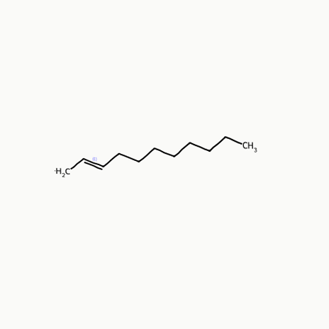 [CH2]/C=C/CCCCCCCC